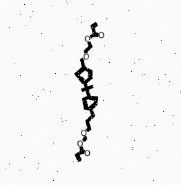 C=CC(=O)OCCOCc1ccc(C(C)(C)c2ccc(CCCOCOC(=O)C=C)cc2)cc1